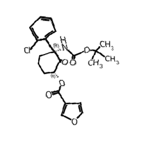 CC(C)(C)OC(=O)N[C@@]1(c2ccccc2Cl)CCC[C@@H](OC(=O)c2ccoc2)C1=O